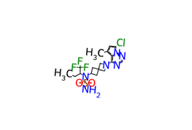 CCC(N(C1CC2(C1)CN(c1ncnn3c(Cl)cc(C)c13)C2)S(N)(=O)=O)C(F)(F)F